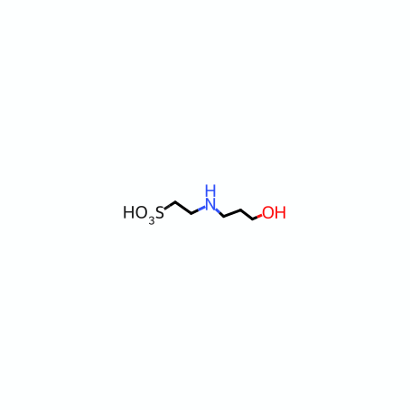 O=S(=O)(O)CCNCCCO